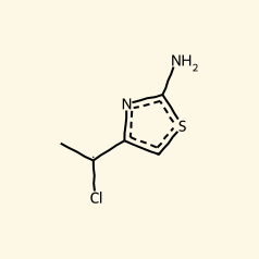 C[C](Cl)c1csc(N)n1